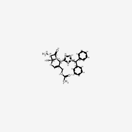 CC(=O)OCC1=CS[C@@H]2[C@H](N)C(=O)N2[C@H]1c1nnn(C(c2ccccc2)c2ccccc2)n1